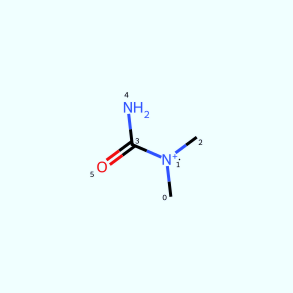 C[N+](C)C(N)=O